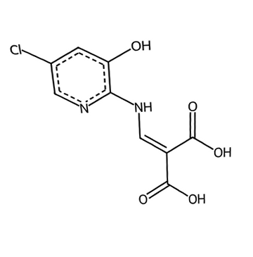 O=C(O)C(=CNc1ncc(Cl)cc1O)C(=O)O